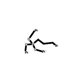 CC(C)O[Si](CCCBr)(OC(C)C)OC(C)C